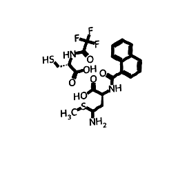 CSC(N)C[C@H](NC(=O)c1cccc2ccccc12)C(=O)O.O=C(O)[C@H](CS)NC(=O)C(F)(F)F